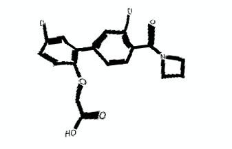 O=C(O)COc1ccc(Cl)cc1-c1ccc(C(=O)N2CCC2)c(Cl)c1